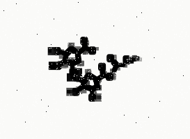 CC(C)=O.O=C([O-])c1cc(O)c(O)c(O)c1.O=C([O-])c1cc(O)c(O)c(O)c1.[Cu+2]